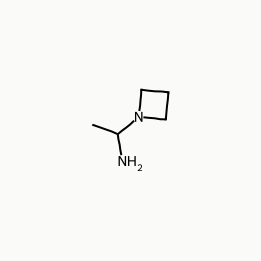 CC(N)N1CCC1